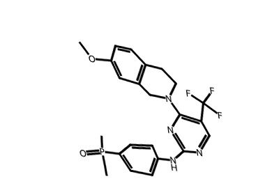 COc1ccc2c(c1)CN(c1nc(Nc3ccc(P(C)(C)=O)cc3)ncc1C(F)(F)F)CC2